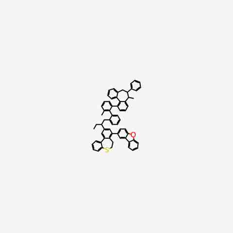 CCC(Cc1ccccc1-c1c(C)cccc1-c1cccc2c1-c1ccccc1CC(c1ccccc1)C2C)c1cc(-c2ccc3oc4ccccc4c3c2)c2c(c1)-c1ccccc1SCC2